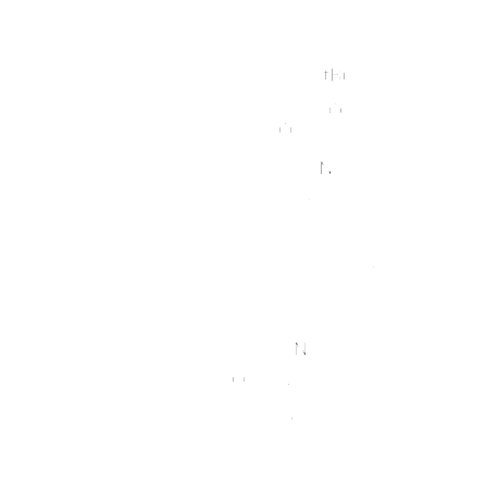 CC(C)(C)OC(=O)N1CC[C@H](OC2CCN(C(=O)OCc3ccccc3)CC2)CC1(C)C